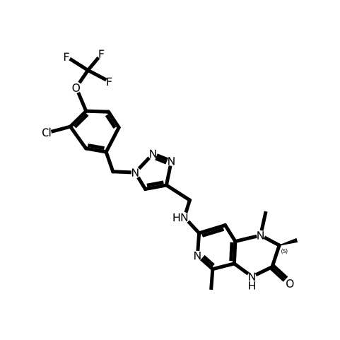 Cc1nc(NCc2cn(Cc3ccc(OC(F)(F)F)c(Cl)c3)nn2)cc2c1NC(=O)[C@H](C)N2C